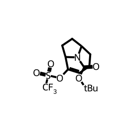 CC(C)(C)OC(=O)N1C2CCC=C(OS(=O)(=O)C(F)(F)F)C1CC2